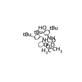 CC(C)(C)Cc1ccc(CN(C(Nc2cc(C(C)(C)C)c(O)c(C(C)(C)C)c2)=C2C(=O)OC(C)(C)OC2=O)C2CCCCC2)cc1